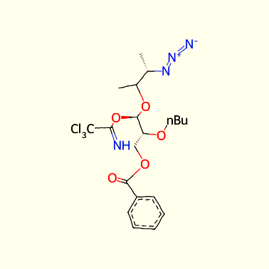 CCCCO[C@H](COC(=O)c1ccccc1)[C@@H](OC(=N)C(Cl)(Cl)Cl)OC(C)[C@H](C)N=[N+]=[N-]